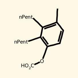 CCCCCc1c(C)ccc(OC(=O)O)c1CCCCC